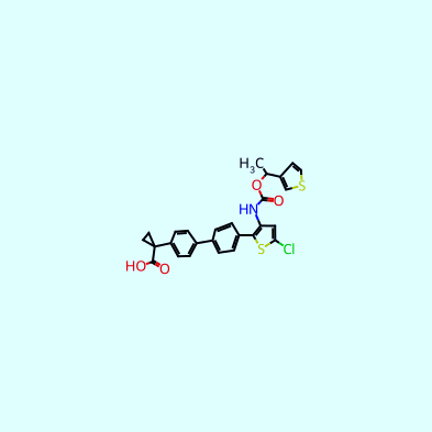 CC(OC(=O)Nc1cc(Cl)sc1-c1ccc(-c2ccc(C3(C(=O)O)CC3)cc2)cc1)c1ccsc1